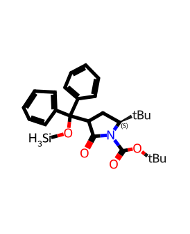 CC(C)(C)OC(=O)N1C(=O)C(C(O[SiH3])(c2ccccc2)c2ccccc2)C[C@H]1C(C)(C)C